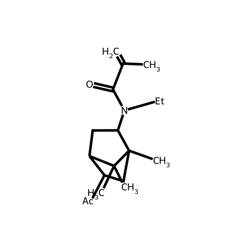 C=C(C)C(=O)N(CC)C1CC2C(C(C)=O)CC1(C)C2(C)C